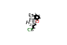 CCc1cccc(O[SiH2]CCCCl)c1CC